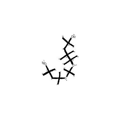 CC(C)(O)CC(C)(C)OC(C)(C)OC(C)(C)C(C)(C)CC(C)(C)O